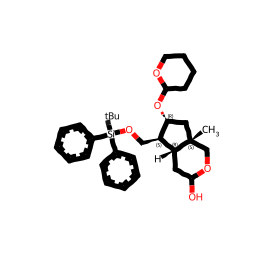 CC(C)(C)[Si](OC[C@@H]1[C@H]2CC(O)OC[C@@]2(C)C[C@H]1OC1CCCCO1)(c1ccccc1)c1ccccc1